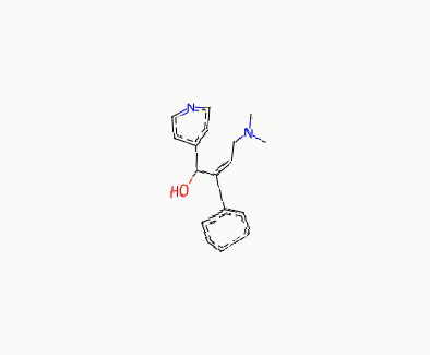 CN(C)CC=C(c1ccccc1)C(O)c1ccncc1